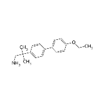 CCOc1[c]cc(-c2ccc(C(C)(C)CN)cc2)cc1